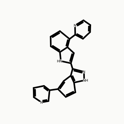 c1ccc(-c2cccc3[nH]c(-c4n[nH]c5ccc(-c6cccnc6)cc45)cc23)nc1